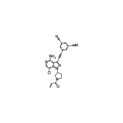 C=CC(=O)N1CCC(n2nc(C#Cc3cc(C#N)cc(C#N)c3)c3c(N)ncc(Cl)c32)C1